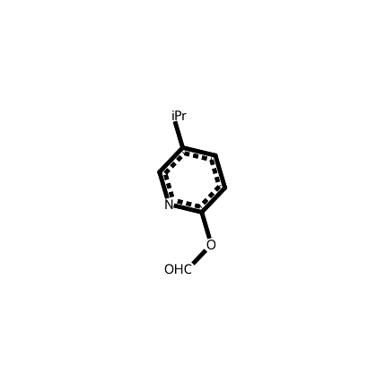 CC(C)c1ccc(OC=O)nc1